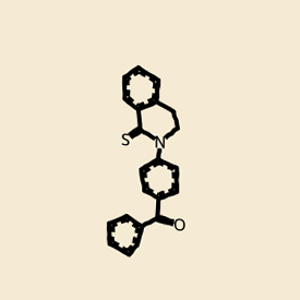 O=C(c1ccccc1)c1ccc(N2CCc3ccccc3C2=S)cc1